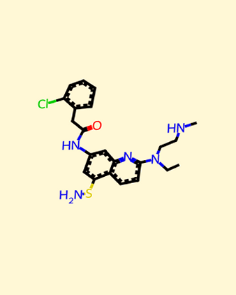 CCN(CCNC)c1ccc2c(SN)cc(NC(=O)Cc3ccccc3Cl)cc2n1